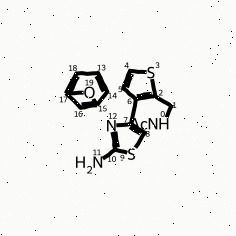 CC(=O)NCc1sccc1-c1csc(N)n1.c1cc2cc(c1)O2